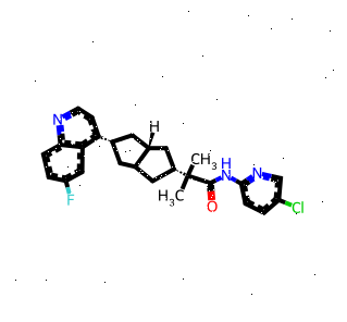 CC(C)(C(=O)Nc1ccc(Cl)cn1)[C@@H]1CC2C[C@H](c3ccnc4ccc(F)cc34)C[C@@H]2C1